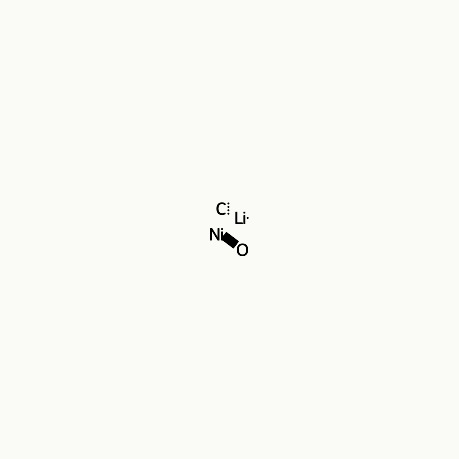 [C].[Li].[O]=[Ni]